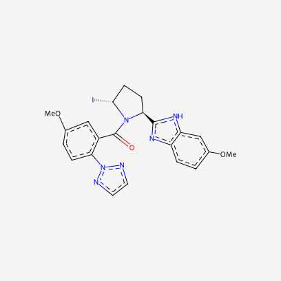 COc1ccc(-n2nccn2)c(C(=O)N2[C@H](I)CC[C@H]2c2nc3ccc(OC)cc3[nH]2)c1